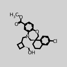 COC(=O)c1ccc2c(c1)N(CC1CC[C@H]1CO)C[C@@]1(CCCc3cc(Cl)ccc31)CO2